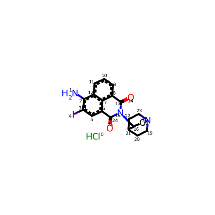 Cl.Nc1c(I)cc2c3c(cccc13)C(=O)N(C1CN3CCC1CC3)C2=O